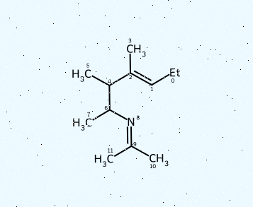 CC/C=C(\C)C(C)C(C)N=C(C)C